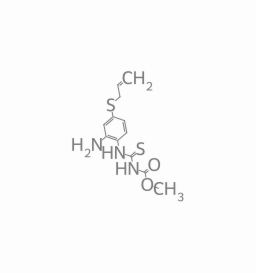 C=CCSc1ccc(NC(=S)NC(=O)OC)c(N)c1